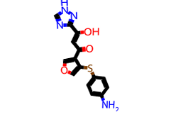 Nc1ccc(Sc2cocc2C(=O)C=C(O)c2nc[nH]n2)cc1